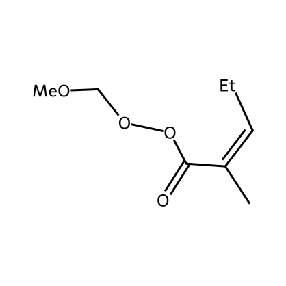 CCC=C(C)C(=O)OOCOC